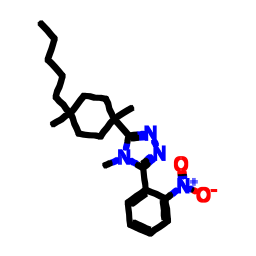 CCCCCC1(C)CCC(C)(c2nnc(-c3ccccc3[N+](=O)[O-])n2C)CC1